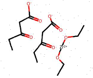 CCC(=O)CC(=O)[O-].CCC(=O)CC(=O)[O-].CC[O][Zr+2][O]CC